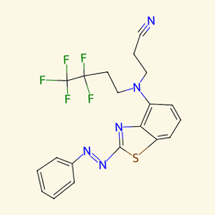 N#CCCN(CCC(F)(F)C(F)(F)F)c1cccc2sc(N=Nc3ccccc3)nc12